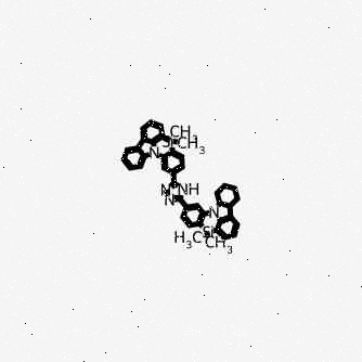 C[Si]1(C)c2ccc(-c3nnc(-c4ccc5c(c4)-n4c6ccccc6c6cccc(c64)[Si]5(C)C)[nH]3)cc2N2c3c(cccc31)C1CCCCC12